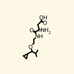 CC(C)C(OCCNC(=O)[C@@H](N)CC(=O)O)C1CC1